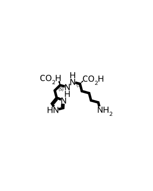 NCCCC[C@H](NN[C@@H](Cc1c[nH]cn1)C(=O)O)C(=O)O